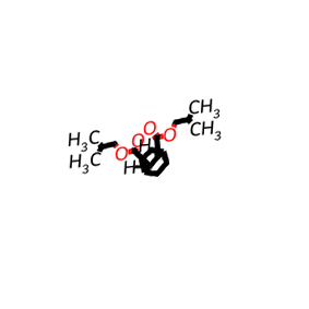 CC(C)COC(=O)[C@H]1C2CCC(CC2)[C@@H]1C(=O)OCC(C)C